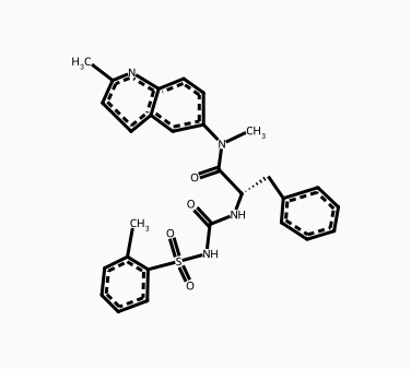 Cc1ccc2cc(N(C)C(=O)[C@H](Cc3ccccc3)NC(=O)NS(=O)(=O)c3ccccc3C)ccc2n1